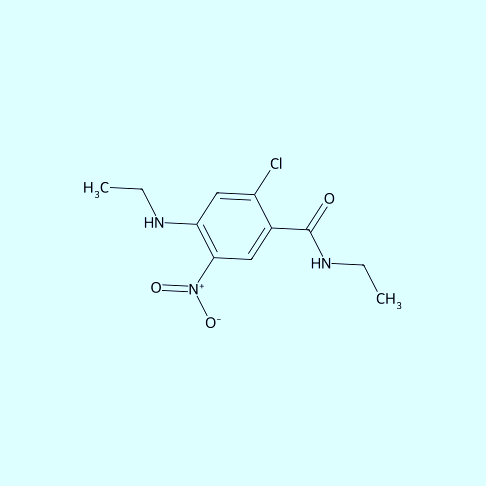 CCNC(=O)c1cc([N+](=O)[O-])c(NCC)cc1Cl